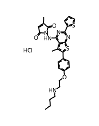 CCCCNCCOc1ccc(-c2sc3nc(-c4cccs4)nc(NN4C(=O)C=C(C)C4=O)c3c2C)cc1.Cl